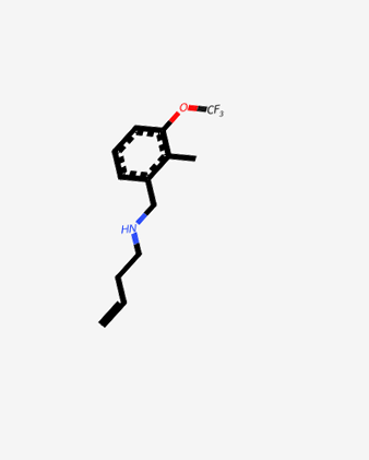 C=CCCNCc1cccc(OC(F)(F)F)c1C